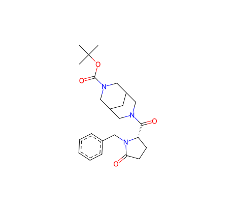 CC(C)(C)OC(=O)N1CC2CC(C1)CN(C(=O)[C@@H]1CCC(=O)N1Cc1ccccc1)C2